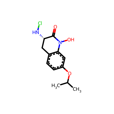 CC(C)Oc1ccc2c(c1)N(O)C(=O)[C@@H](NCl)C2